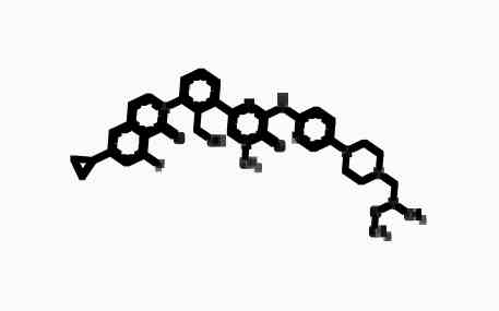 CON(C)CN1CCN(c2ccc(Nc3nc(-c4cccc(-n5ccc6cc(C7CC7)cc(F)c6c5=O)c4CO)cn(C)c3=O)nc2)CC1